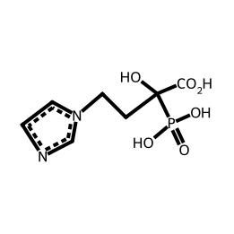 O=C(O)C(O)(CCn1ccnc1)P(=O)(O)O